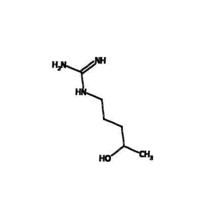 CC(O)CCCNC(=N)N